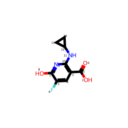 O=C(O)c1cc(F)c(O)nc1NC1CC1